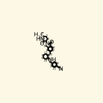 C=C1CCC(N2Cc3cc(C[C@H]4CCCC[C@@H]4NCc4ccc(C#N)cc4)ccc3C2=O)C(=O)N1